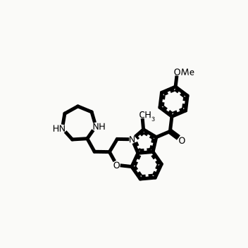 COc1ccc(C(=O)c2c(C)n3c4c(cccc24)OC(CC2CNCCCN2)C3)cc1